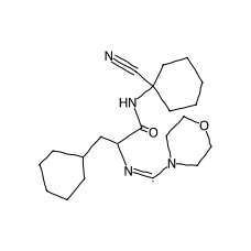 N#CC1(NC(=O)C(CC2CCCCC2)/N=[C]\N2CCOCC2)CCCCC1